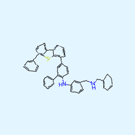 C1=CCCC(CNCc2cccc(Nc3ccc(-c4cccc5c4sc4c(-c6ccccc6)cccc45)cc3-c3ccccc3)c2)=C1